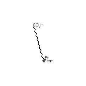 CCCCCC(CC)CCCCCCCCCCCCCCCC(=O)O